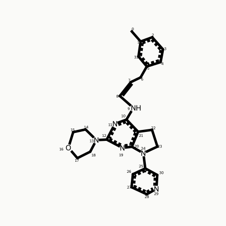 Cc1cccc(C/C=C\Nc2nc(N3CCOCC3)nc3c2CCN3c2cccnc2)c1